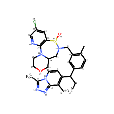 Cc1ccc(C(CC(=O)O)c2ccn3c(C(F)(F)F)nnc3c2C)cc1CN1CC2COCCN2c2ncc(Cl)cc2[S+]1[O-]